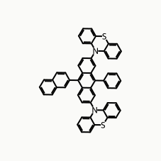 c1ccc(-c2c3cc(N4c5ccccc5Sc5ccccc54)ccc3c(-c3ccc4ccccc4c3)c3ccc(N4c5ccccc5Sc5ccccc54)cc23)cc1